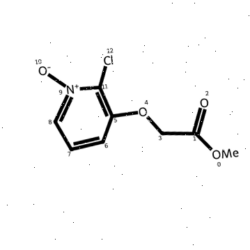 COC(=O)COc1ccc[n+]([O-])c1Cl